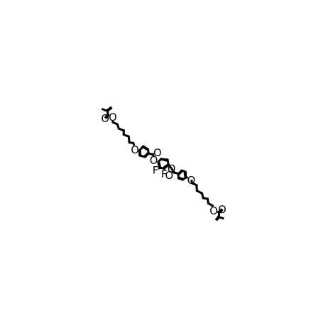 C=C(C)C(=O)OCCCCCCCCOc1ccc(C(=O)Oc2ccc(OC(=O)c3ccc(OCCCCCCCCOC(=O)C(=C)C)cc3)c(F)c2F)cc1